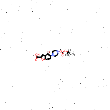 CC(C)(C)OC(=O)ON1CCN(c2ccc3oc(C(=O)O)cc3c2Br)CC1